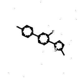 Cc1ccc(-c2ccc(-c3ccc(C)s3)c(F)c2)cc1